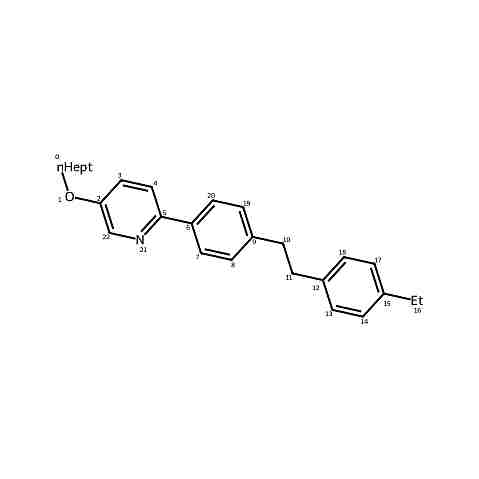 CCCCCCCOc1ccc(-c2ccc(CCc3ccc(CC)cc3)cc2)nc1